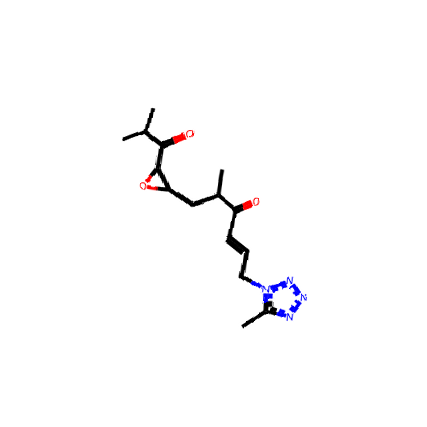 Cc1nnnn1C/C=C/C(=O)C(C)CC1OC1C(=O)C(C)C